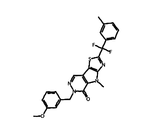 COc1cccc(Cn2ncc3c4sc(C(F)(F)c5cccc(C)c5)nc4n(C)c3c2=O)c1